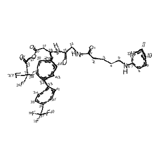 O=C(CCCCNc1ccccn1)NCC(=O)NC(CC(=O)OC(=O)C(F)(F)F)c1ccc(-c2ccc(C(F)(F)F)cc2)cc1